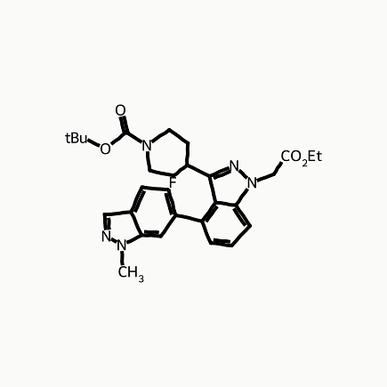 CCOC(=O)Cn1nc(C2CCN(C(=O)OC(C)(C)C)CC2)c2c(-c3cc4c(cnn4C)cc3F)cccc21